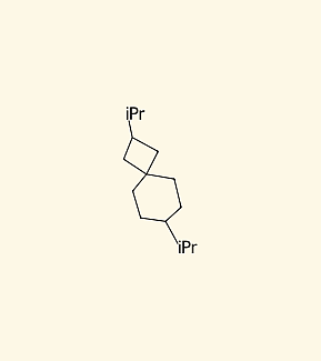 CC(C)C1CCC2(CC1)CC(C(C)C)C2